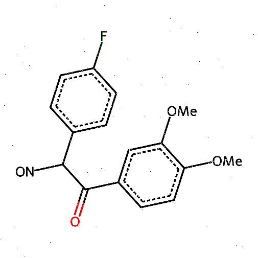 COc1ccc(C(=O)C(N=O)c2ccc(F)cc2)cc1OC